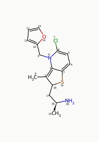 CC1=C2C(=CC=C(Cl)N2Cc2ccco2)SC1C[C@H](C)N